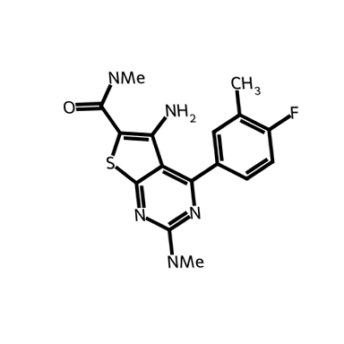 CNC(=O)c1sc2nc(NC)nc(-c3ccc(F)c(C)c3)c2c1N